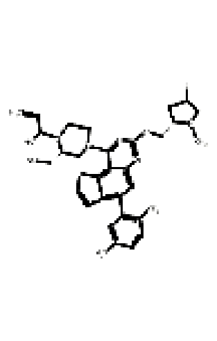 C=CC(O)N1CCN(c2nc(OC[C@@H]3C[C@@H](F)CN3C)nc3cc(-c4cc(N)ccc4C(F)(F)F)c4ccoc4c23)C[C@@H]1CC#N